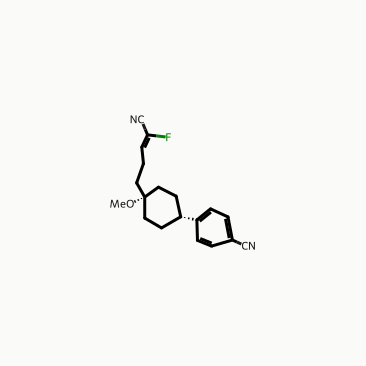 CO[C@]1(CCC=C(F)C#N)CC[C@H](c2ccc(C#N)cc2)CC1